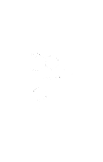 Cc1ccc2c(c1)OC1(O)c3c([N+](=O)[O-])ccc(N)c3C(=O)C21